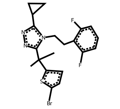 CC(C)(c1ccc(Br)s1)c1nnc(C2CC2)n1CCc1c(F)cccc1F